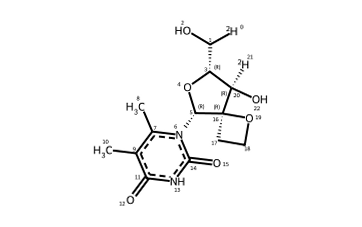 [2H]C(O)[C@H]1O[C@@H](n2c(C)c(C)c(=O)[nH]c2=O)[C@@]2(CCO2)[C@]1([2H])O